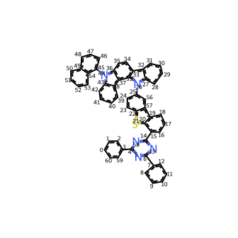 c1ccc(-c2nc(-c3ccccc3)nc(-c3cccc4c3sc3ccc(-n5c6ccccc6c6ccc7c(c8ccccc8n7-c7cccc8ccccc78)c65)cc34)n2)cc1